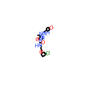 COc1ccc(CNC2=NC(C)=C3C(=O)N(CC(=O)NCCCOc4cccc(Cl)c4)C=N[N+]23)cc1